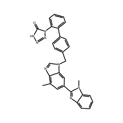 Cc1cc(-c2nc3ccccc3n2C)cc2c1ncn2Cc1ccc(-c2ccccc2-n2nn[nH]c2=O)cc1